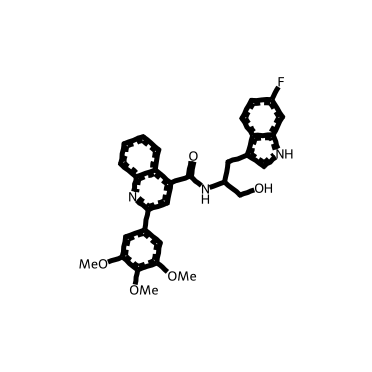 COc1cc(-c2cc(C(=O)NC(CO)Cc3c[nH]c4cc(F)ccc34)c3ccccc3n2)cc(OC)c1OC